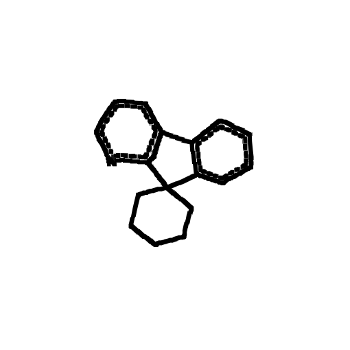 c1ccc2c(c1)-c1cccnc1C21CCCCC1